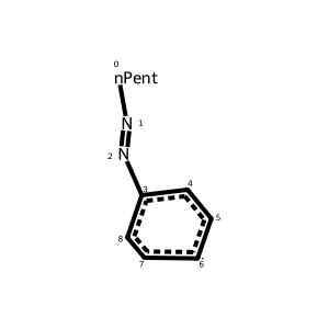 CCCCCN=Nc1cc[c]cc1